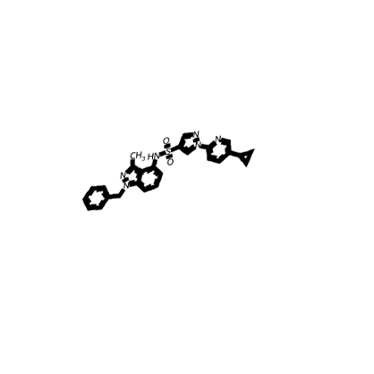 Cc1nn(Cc2ccccc2)c2cccc(NS(=O)(=O)c3cnn(-c4ccc(C5CC5)cn4)c3)c12